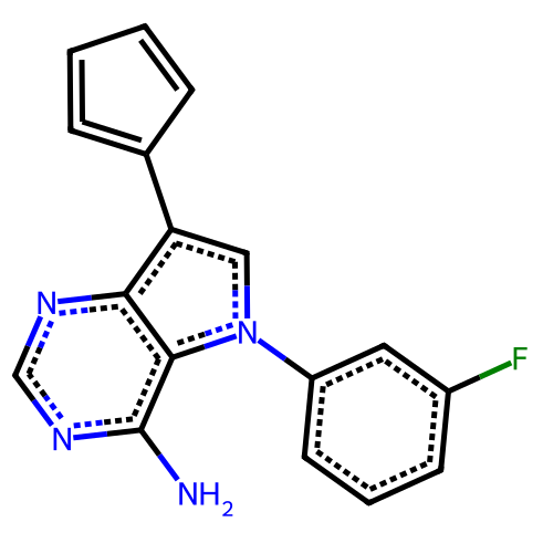 Nc1ncnc2c(C3=C=CC=C3)cn(-c3cccc(F)c3)c12